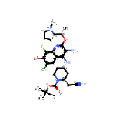 C[C@H](Oc1nc2c(F)c(Br)c(Cl)cc2c(N[C@H]2CCN(C(=O)OC(C)(C)C)[C@H](CC#N)C2)c1N)[C@@H]1CCCN1C